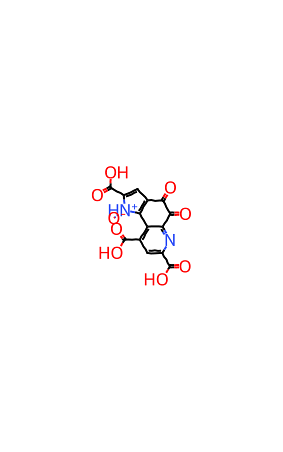 O=C(O)C1=CC2=C(c3c(C(=O)O)cc(C(=O)O)nc3C(=O)C2=O)[NH+]1[O-]